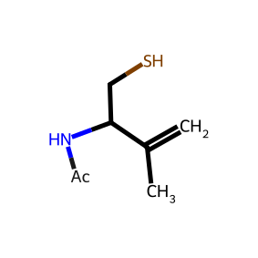 C=C(C)C(CS)NC(C)=O